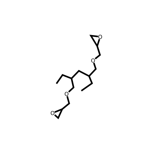 CCC(COCC1CO1)CC(CC)COCC1CO1